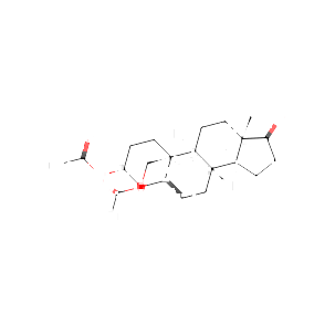 CCC(=O)OC[C@]12CC[C@H](OC(=O)CC)CC1=CC[C@@H]1[C@@H]2CC[C@]2(C)C(=O)CC[C@@H]12